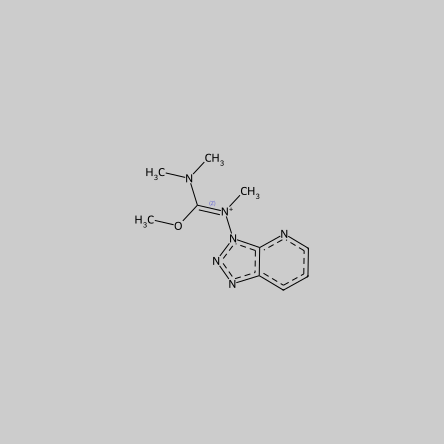 CO/C(N(C)C)=[N+](/C)n1nnc2cccnc21